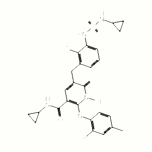 Cn1c(Nc2ccc(I)cc2F)c(C(=O)NC2CC2)cc(Cc2cccc(NS(=O)(=O)NC3CC3)c2F)c1=O